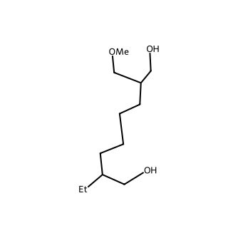 CCC(CO)CCCCC(CO)COC